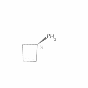 P[C@H]1C=CC1